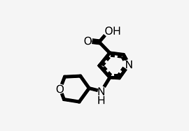 O=C(O)c1cncc(NC2CCOCC2)c1